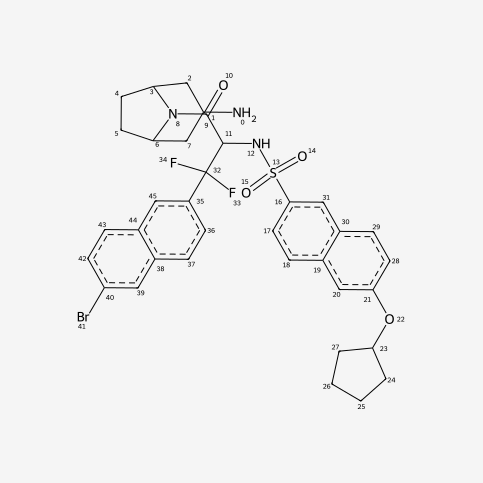 NC1CC2CCC(C1)N2C(=O)C(NS(=O)(=O)c1ccc2cc(OC3CCCC3)ccc2c1)C(F)(F)c1ccc2cc(Br)ccc2c1